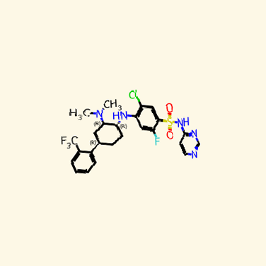 CN(C)[C@@H]1C[C@H](c2ccccc2C(F)(F)F)CC[C@H]1Nc1cc(F)c(S(=O)(=O)Nc2ccncn2)cc1Cl